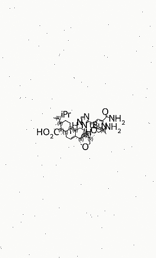 CC(C)[C@@H](C)[C@@]1(C)CC[C@]2(C)[C@H]3CC[C@@H]4[C@@]5(COC[C@]4(C)[C@@H](OC[C@](C)(N)C(C)(C)C)[C@H](n4ncnc4-c4ccnc(C(N)=O)c4)C5)C3=CC[C@@]2(C)[C@@H]1C(=O)O